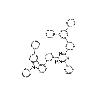 c1ccc(C2=NC(c3cccc(-c4cc(-c5ccccc5)cc(-c5ccccc5)c4)c3)=NC(c3cccc(-c4cccc5c4c4cc(-c6ccccc6)ccc4n5-c4ccccc4)c3)N2)cc1